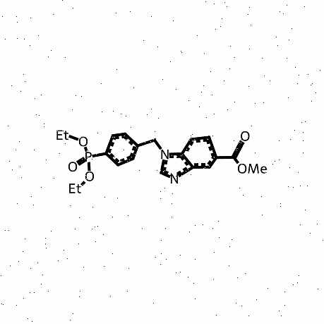 CCOP(=O)(OCC)c1ccc(Cn2cnc3cc(C(=O)OC)ccc32)cc1